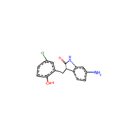 Nc1ccc2c(c1)NC(=O)C2Cc1cc(Cl)ccc1O